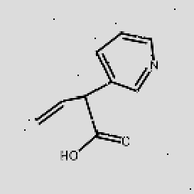 C=CC(C(=O)O)c1cccnc1